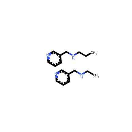 CCCNCc1cccnc1.CCNCc1cccnc1